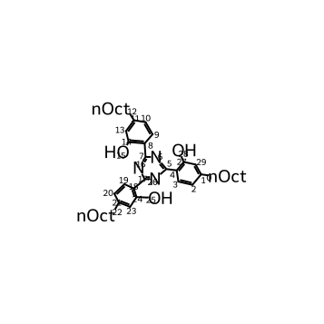 CCCCCCCCc1ccc(-c2nc(-c3ccc(CCCCCCCC)cc3O)nc(-c3ccc(CCCCCCCC)cc3O)n2)c(O)c1